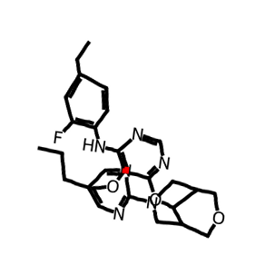 CCCc1cnc(N2CC3COCC(C2)C3Oc2ncnc(Nc3ccc(CC)cc3F)c2OC)nc1